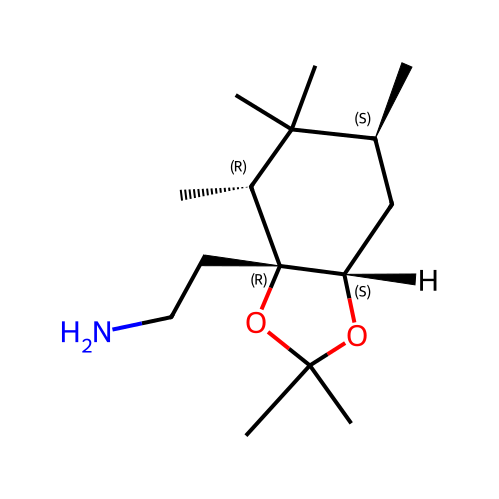 C[C@@H]1C(C)(C)[C@@H](C)C[C@@H]2OC(C)(C)O[C@@]21CCN